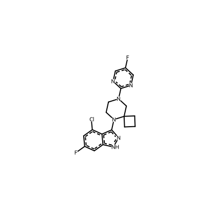 Fc1cnc(N2CCN(c3n[nH]c4cc(F)cc(Cl)c34)C3(CCC3)C2)nc1